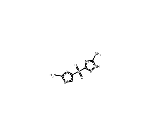 Nc1nc(S(=O)(=O)c2cnc(N)s2)n[nH]1